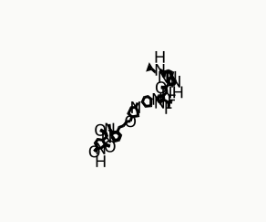 Cn1c(=O)n(C2CCC(=O)NC2=O)c2cccc(CCCOC3CCN(C[C@H]4CC[C@H](n5cc(NC(=O)c6cnn7ccc(NCC8CC8)nc67)c(C(F)F)n5)CC4)CC3)c21